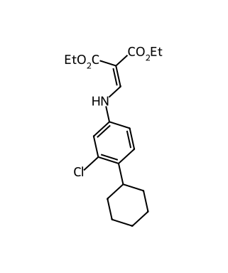 CCOC(=O)C(=CNc1ccc(C2CCCCC2)c(Cl)c1)C(=O)OCC